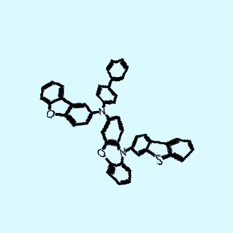 c1ccc(-c2ccc(N(c3ccc4c(c3)Oc3ccccc3N4c3ccc4c(c3)sc3ccccc34)c3ccc4oc5ccccc5c4c3)cc2)cc1